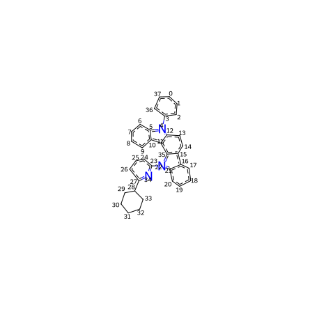 c1ccc(-n2c3ccccc3c3c2ccc2c4ccccc4n(-c4cccc(C5CCCCC5)n4)c23)cc1